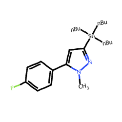 CCC[CH2][Sn]([CH2]CCC)([CH2]CCC)[c]1cc(-c2ccc(F)cc2)n(C)n1